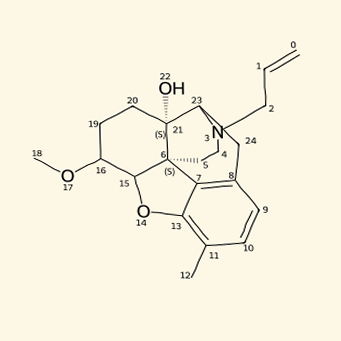 C=CCN1CC[C@]23c4c5ccc(C)c4OC2C(OC)CC[C@@]3(O)C1C5